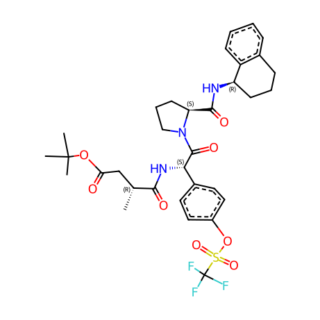 C[C@H](CC(=O)OC(C)(C)C)C(=O)N[C@H](C(=O)N1CCC[C@H]1C(=O)N[C@@H]1CCCc2ccccc21)c1ccc(OS(=O)(=O)C(F)(F)F)cc1